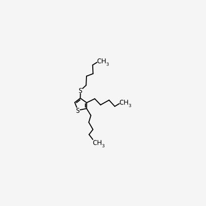 CCCCCSc1csc(CCCCC)c1CCCCC